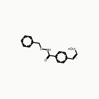 CCCCCCCC/C=C\c1ccc(C(=O)NOCc2ccccc2)cc1